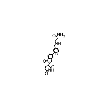 NC(=O)CCNCc1ccnc(-c2ccc3c(c2)CN(C2CCC(=O)NC2=O)C3=O)c1